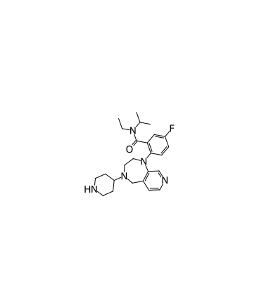 CCN(C(=O)c1cc(F)ccc1N1CCN(C2CCNCC2)Cc2ccncc21)C(C)C